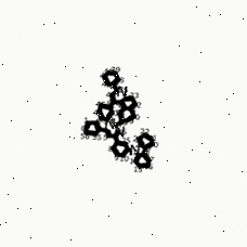 c1ccc(-c2cc(-c3cccc(-n4c5ccccc5c5ccccc54)c3)nc(-c3ccc4ccc5nc(-c6ccccc6)cc(-c6ccccc6)c5c4c3)n2)cc1